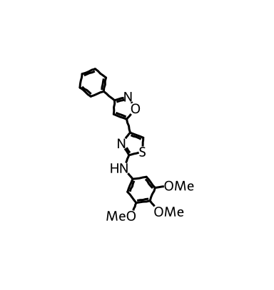 COc1cc(Nc2nc(-c3cc(-c4ccccc4)no3)cs2)cc(OC)c1OC